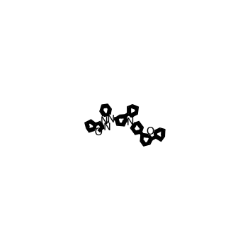 c1ccc2c(c1)oc1c(-c3ccc(-n4c5ccccc5c5cc(-n6c7ccccc7n7c8c(nc67)oc6ccccc68)ccc54)cc3)cccc12